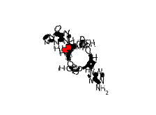 Nc1ncnc2c1ncn2[C@@H]1C[C@@H]2CO[P@](=O)(S)O[C@@H]3[C@H](F)[C@@H](COP(=O)(O)OC[C@H]21)O[C@H]3n1cnc2c(=O)n3ccnc3[nH]c21